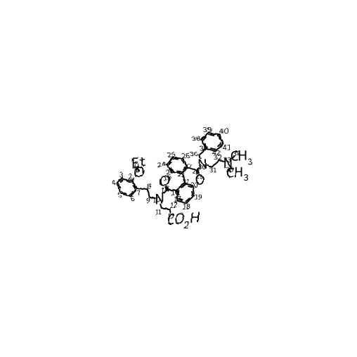 CCOc1ccccc1CCN(CCC(=O)O)C(=O)c1ccccc1-c1ccccc1C(=O)N(CCN(C)C)Cc1ccccc1